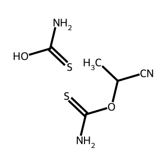 CC(C#N)OC(N)=S.NC(O)=S